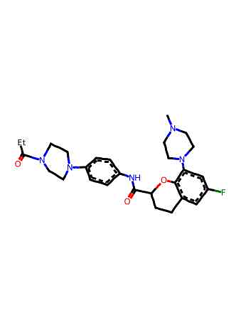 CCC(=O)N1CCN(c2ccc(NC(=O)C3CCc4cc(F)cc(N5CCN(C)CC5)c4O3)cc2)CC1